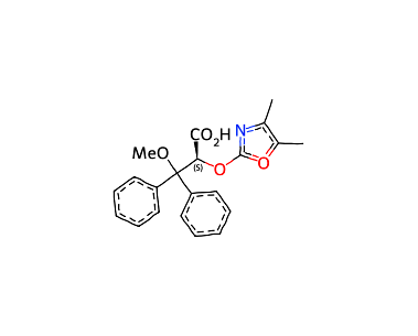 COC(c1ccccc1)(c1ccccc1)[C@H](Oc1nc(C)c(C)o1)C(=O)O